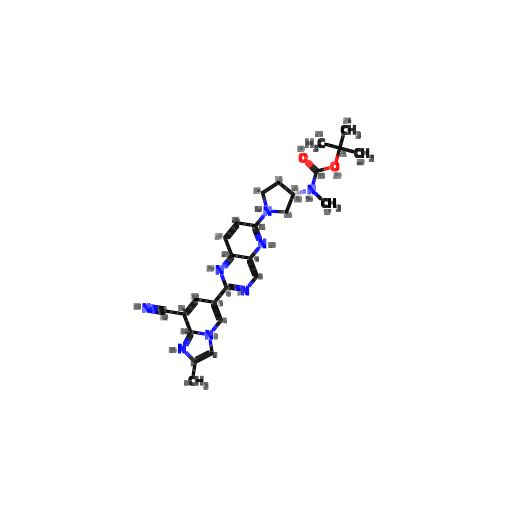 Cc1cn2cc(-c3ncc4nc(N5CC[C@H](N(C)C(=O)OC(C)(C)C)C5)ccc4n3)cc(C#N)c2n1